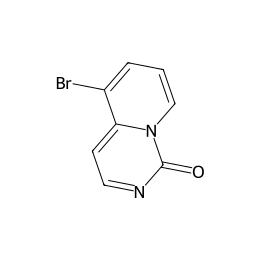 O=c1nccc2c(Br)cccn12